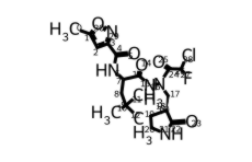 Cc1cc(C(=O)NC(CC(C)(C)C)C(=O)NN(C[C@@H]2CCNC2=O)C(=O)C(F)Cl)no1